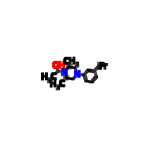 CC(C)c1cccc(N2C[C@@H](C)N(C(C)O)[C@@H](C)C2)c1